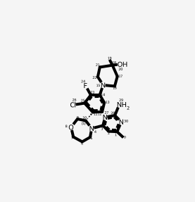 Cc1cc(N2CCCOC[C@@H]2c2ccc(N3CCC(C)(O)CC3)c(F)c2Cl)nc(N)n1